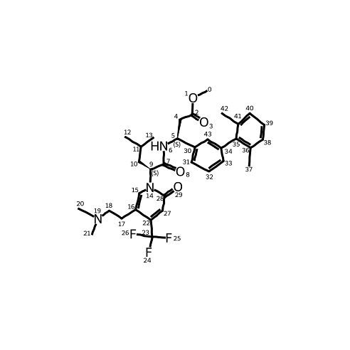 COC(=O)C[C@H](NC(=O)[C@H](CC(C)C)n1cc(CCN(C)C)c(C(F)(F)F)cc1=O)c1cccc(-c2c(C)cccc2C)c1